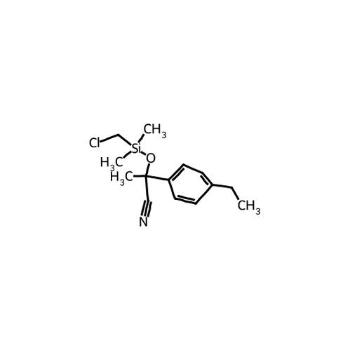 CCc1ccc(C(C)(C#N)O[Si](C)(C)CCl)cc1